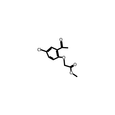 COC(=O)COc1ccc(Cl)cc1C(C)=O